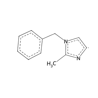 Cc1n[c]cn1Cc1ccccc1